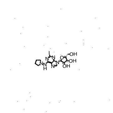 OC[C@H]1O[C@@H](n2cnc3c(NN4CCCC4)nc(I)nc32)[C@H](O)[C@@H]1O